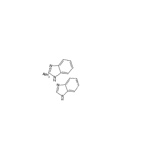 [AlH3].c1ccc2[nH]cnc2c1.c1ccc2[nH]cnc2c1